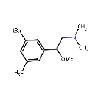 COC(CN(C)C)c1cc(C)cc(C(C)(C)C)c1